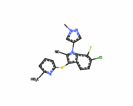 Cn1cc(-n2c(C#N)c(Sc3cccc(C(=O)O)n3)c3ccc(Cl)c(F)c32)cn1